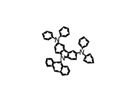 c1ccc(N(c2ccccc2)c2ccc3c(c2)c2cc(N(c4ccccc4)c4ccccc4)ccc2n3-c2c3ccccc3cc3ccccc23)cc1